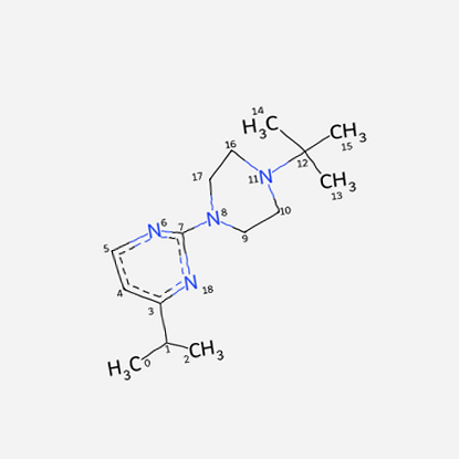 CC(C)c1ccnc(N2CCN(C(C)(C)C)CC2)n1